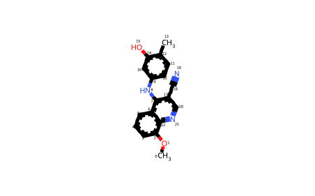 COc1cccc2c(Nc3ccc(C)c(O)c3)c(C#N)cnc12